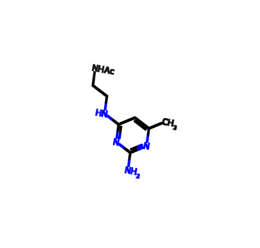 CC(=O)NCCNc1cc(C)nc(N)n1